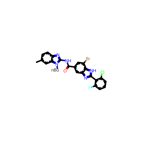 CCCCn1c(NC(=O)c2cc(Br)c3[nH]c(-c4c(F)cccc4Cl)nc3c2)nc2ccc(C)cc21